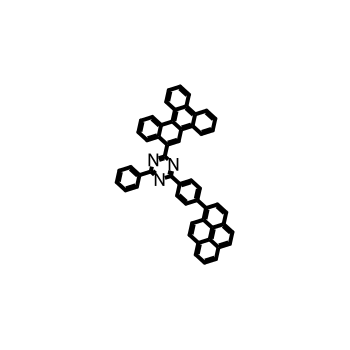 c1ccc(-c2nc(-c3ccc(-c4ccc5ccc6cccc7ccc4c5c67)cc3)nc(-c3cc4c5ccccc5c5ccccc5c4c4ccccc34)n2)cc1